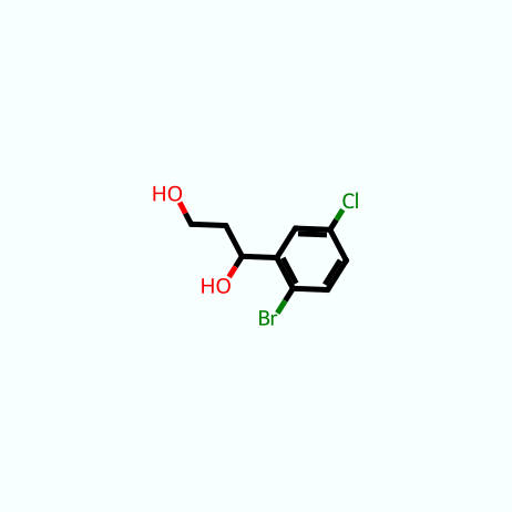 OCCC(O)c1cc(Cl)ccc1Br